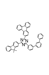 CC1(C)c2ccccc2-c2ccc(-c3nc(-c4cccc(-c5cccc(-c6ccccc6)c5)c4)nc(-c4ccc5c6ccccc6c6ccccc6c5c4)n3)cc21